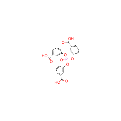 O=C(O)c1cccc(OP(=O)(Oc2cccc(C(=O)O)c2)Oc2cccc(C(=O)O)c2)c1